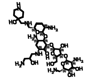 NCC(O)CN[C@@H]1C[C@H](N)[C@@H](O[C@H]2O[C@H](CNCC3(O)CCNCC3)C=C[C@H]2N)[C@H](O[C@@H]2O[C@H](CO)[C@@H](O[C@H]3O[C@@H](CN)[C@@H](O)[C@H](O)[C@H]3N)[C@H]2O)[C@H]1O